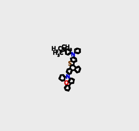 C[Si](C)(C)c1ccc(N(c2ccccc2)c2ccc3c(c2)sc2c4ccc(N(c5ccccc5)c5cccc6c5oc5ccccc56)cc4c4ccccc4c32)cc1